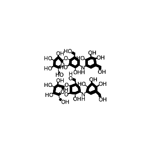 OCC1=C[C@H](N[C@H]2C[C@H](CO)[C@@H](O[C@@H]3O[C@H](CO)[C@@H](O)[C@H](O)[C@H]3O)[C@H](O)[C@H]2O)[C@H](O)[C@@H](O)[C@H]1O.OCC1=C[C@H](N[C@H]2C[C@H](CO)[C@@H](O[C@@H]3O[C@H](CO)[C@@H](O)[C@H](O)[C@H]3O)[C@H](O)[C@H]2O)[C@H](O)[C@@H](O)[C@H]1O